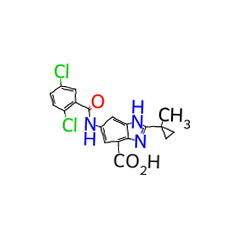 CC1(c2nc3c(C(=O)O)cc(NC(=O)c4cc(Cl)ccc4Cl)cc3[nH]2)CC1